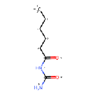 CCCCCC(=O)NC(N)=O